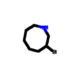 CCC1CCCCCNC1